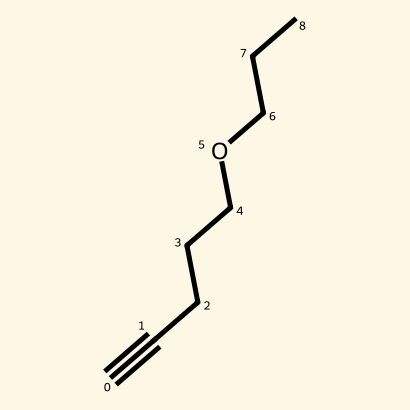 C#CCCCOCCC